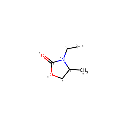 [2H]CN1C(=O)OCC1C